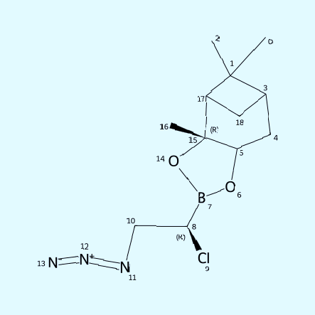 CC1(C)C2CC3OB([C@@H](Cl)CN=[N+]=[N-])O[C@]3(C)C1C2